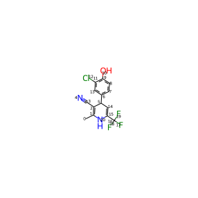 CC1=C(C#N)C(c2ccc(O)c(Cl)c2)C=C(C(F)(F)F)N1